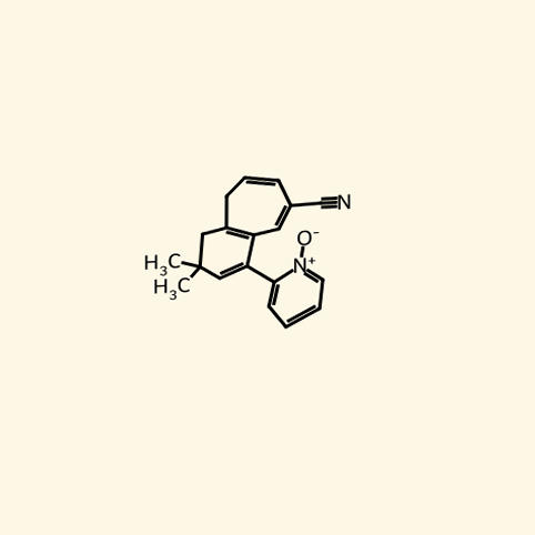 CC1(C)C=C(c2cccc[n+]2[O-])C2=C(CC=CC(C#N)=C2)C1